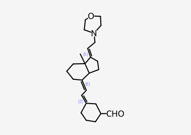 CC12CCC/C(=C\C=C3\CCCC(C=O)C3)C1CC/C2=C\CN1CCOCC1